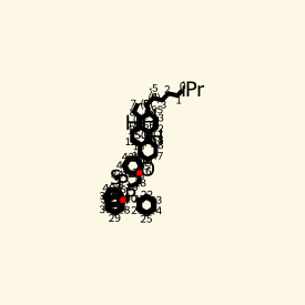 CC(C)CCC[C@@H](C)[C@H]1CC[C@H]2[C@@H]3CC=C4C[C@@H](OCCC(P(c5ccccc5)c5ccccc5)P(=S)(c5ccccc5)c5ccccc5)CC[C@]4(C)[C@H]3CC[C@]12C